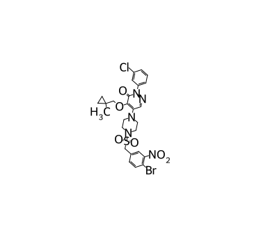 CC1(COc2c(N3CCN(S(=O)(=O)Cc4ccc(Br)c([N+](=O)[O-])c4)CC3)cnn(-c3cccc(Cl)c3)c2=O)CC1